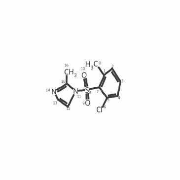 Cc1cccc(Cl)c1S(=O)(=O)n1ccnc1C